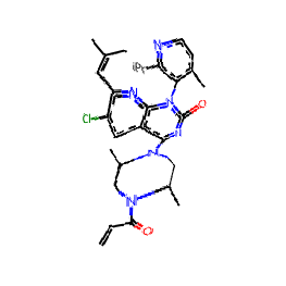 C=CC(=O)N1CC(C)N(c2nc(=O)n(-c3c(C)ccnc3C(C)C)c3nc(C=C(C)C)c(Cl)cc23)CC1C